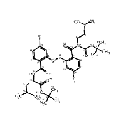 CC(C)CCN(C(=O)OC(C)(C)C)C(=O)c1ccc(F)cc1SSc1cc(F)ccc1C(=O)N[C@@H](CC(C)C)C(=O)OC(C)(C)C